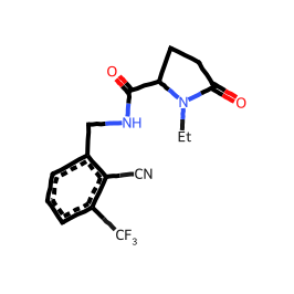 CCN1C(=O)CCC1C(=O)NCc1cccc(C(F)(F)F)c1C#N